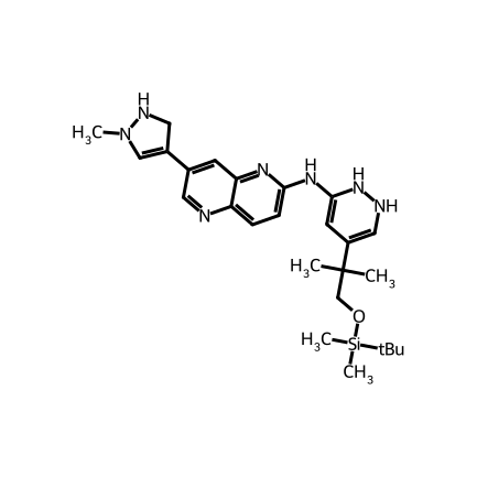 CN1C=C(c2cnc3ccc(NC4=CC(C(C)(C)CO[Si](C)(C)C(C)(C)C)=CNN4)nc3c2)CN1